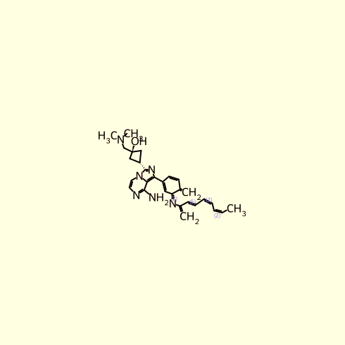 C=C(/C=C/C=C\C=C/C)/N=C1/C=C(c2nc([C@H]3C[C@@](O)(CN(C)C)C3)n3ccnc(N)c23)C=CC1=C